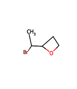 CC(Br)C1CCO1